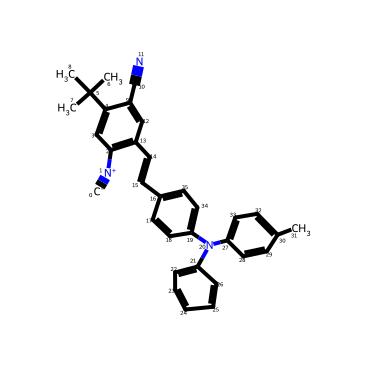 [C-]#[N+]c1cc(C(C)(C)C)c(C#N)cc1C=Cc1ccc(N(c2ccccc2)c2ccc(C)cc2)cc1